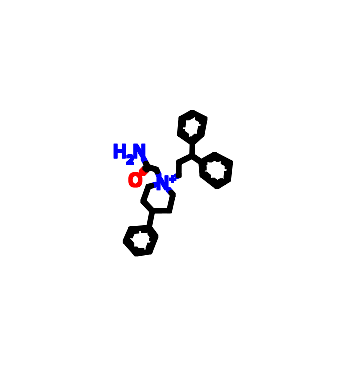 NC(=O)C[N+]1(CCC(c2ccccc2)c2ccccc2)CCC(c2ccccc2)CC1